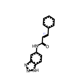 O=C(/C=C/c1ccccc1)Nc1ccc2[nH]nnc2c1